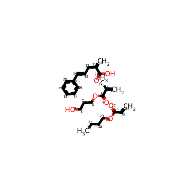 C=C(C)C(=O)OCCCO.C=C(CC=Cc1ccccc1)C(=O)O.C=CC(=O)OCCCC